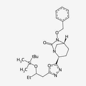 CCC(Cc1nnc([C@@H]2CC[C@@H]3CN2C(=O)N3OCc2ccccc2)o1)O[Si](C)(C)C(C)(C)C